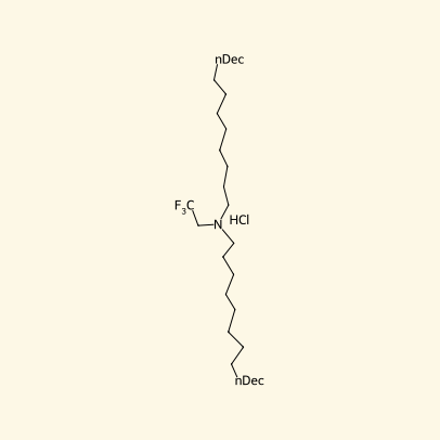 CCCCCCCCCCCCCCCCCCN(CCCCCCCCCCCCCCCCCC)CC(F)(F)F.Cl